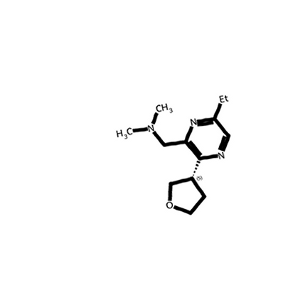 CCc1cnc([C@@H]2CCOC2)c(CN(C)C)n1